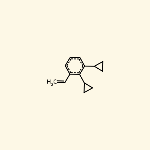 C=Cc1cccc(C2CC2)c1C1CC1